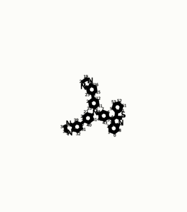 c1ccc2c(-c3ccc(N(c4ccc(-c5ccc6nccnc6c5)cc4)c4ccc(-c5ccc6nccnc6c5)cc4)cc3)c3c(nc2c1)sc1ccccc13